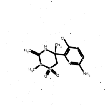 C=C1N[C@](C)(c2nc(N)ccc2Cl)CS(=O)(=O)N1C